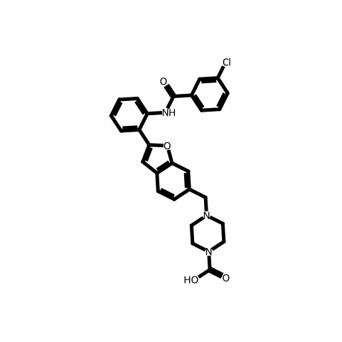 O=C(Nc1ccccc1-c1cc2ccc(CN3CCN(C(=O)O)CC3)cc2o1)c1cccc(Cl)c1